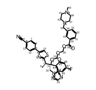 C[C@@H](c1nc(-c2ccc(C#N)cc2)cs1)[C@@](Cn1cncn1)(OC(=O)OCOC(=O)c1cccc(CN2CCN(C)CC2)c1)c1ccc(F)cc1F